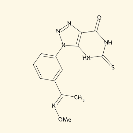 CO/N=C(\C)c1cccc(-n2nnc3c(=O)[nH]c(=S)[nH]c32)c1